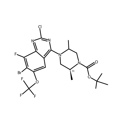 CC1CN(C(=O)OC(C)(C)C)[C@@H](C)CN1c1nc(Cl)nc2c(F)c(Br)c(OC(F)(F)F)cc12